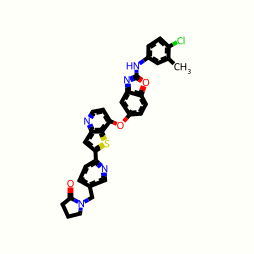 Cc1cc(Nc2nc3cc(Oc4ccnc5cc(-c6ccc(CN7CCCC7=O)cn6)sc45)ccc3o2)ccc1Cl